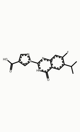 CC(C)c1cc2c(=O)[nH]c(-n3cc(C(=O)O)cn3)nc2cc1F